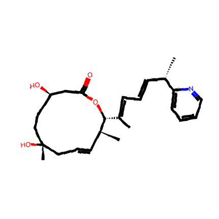 C/C(=C\C=C\[C@H](C)c1ccccn1)[C@H]1OC(=O)C[C@H](O)CC[C@@](C)(O)C/C=C/[C@@H]1C